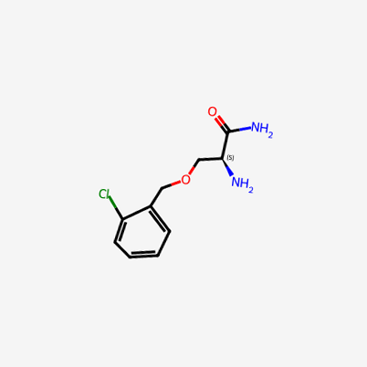 NC(=O)[C@@H](N)COCc1ccccc1Cl